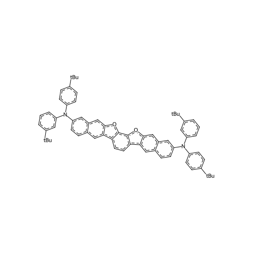 CC(C)(C)c1ccc(N(c2cccc(C(C)(C)C)c2)c2ccc3cc4c(cc3c2)oc2c4ccc3c4cc5ccc(N(c6ccc(C(C)(C)C)cc6)c6cccc(C(C)(C)C)c6)cc5cc4oc32)cc1